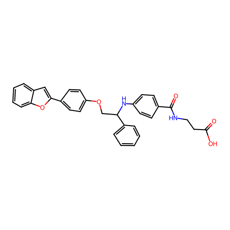 O=C(O)CCNC(=O)c1ccc(NC(COc2ccc(-c3cc4ccccc4o3)cc2)c2ccccc2)cc1